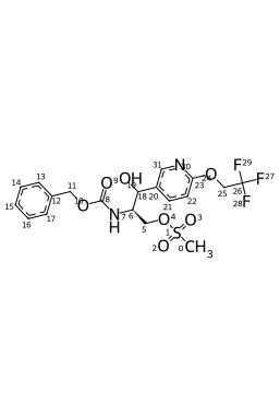 CS(=O)(=O)OC[C@@H](NC(=O)OCc1ccccc1)C(O)c1ccc(OCC(F)(F)F)nc1